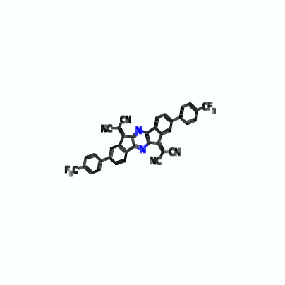 N#CC(C#N)=C1c2cc(-c3ccc(C(F)(F)F)cc3)ccc2-c2nc3c(nc21)-c1ccc(-c2ccc(C(F)(F)F)cc2)cc1C3=C(C#N)C#N